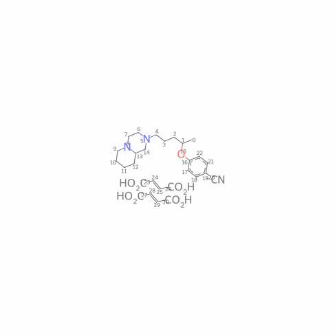 CC(CCCN1CCN2CCCCC2C1)Oc1ccc(C#N)cc1.O=C(O)C=CC(=O)O.O=C(O)C=CC(=O)O